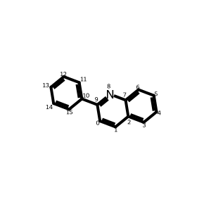 [c]1cc2ccccc2nc1-c1ccccc1